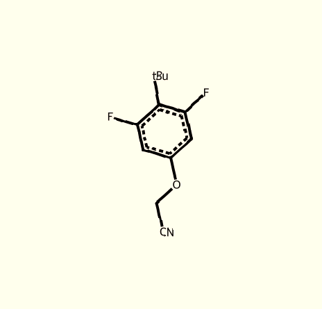 CC(C)(C)c1c(F)cc(OCC#N)cc1F